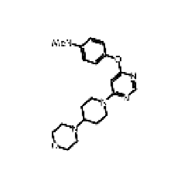 CNc1ccc(Oc2cc(N3CCC(N4CCOCC4)CC3)ncn2)cc1